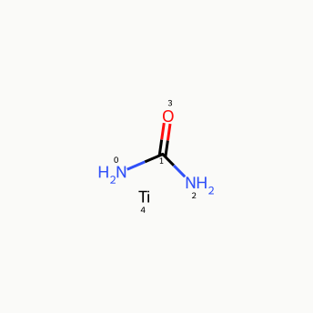 NC(N)=O.[Ti]